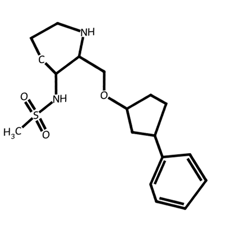 CS(=O)(=O)NC1CCCNC1COC1CCC(c2ccccc2)C1